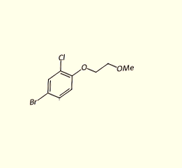 COCCOc1c[c]c(Br)cc1Cl